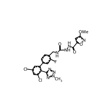 COc1cc(C(=O)NNC(=O)NCc2ccc(-c3cc(Cl)cc(Cl)c3-c3nnn(C)n3)cc2F)on1